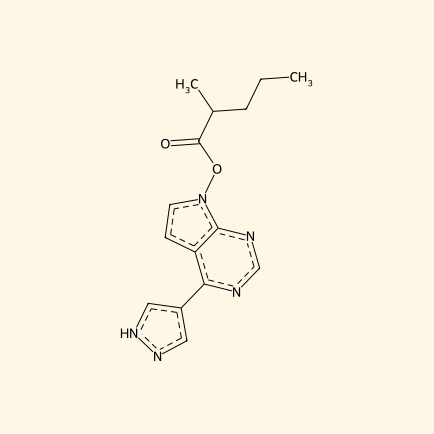 CCCC(C)C(=O)On1ccc2c(-c3cn[nH]c3)ncnc21